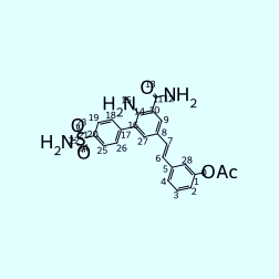 CC(=O)Oc1cccc(C=Cc2cc(C(N)=O)c(N)c(-c3ccc(S(N)(=O)=O)cc3)c2)c1